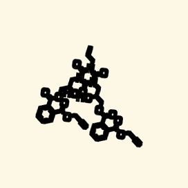 C#CCOC(=O)c1ccccc1C(=O)OCC(O)Cn1c(=O)n(CC=C)c(=O)n(CC(O)COC(=O)c2ccccc2C(=O)OCC#C)c1=O